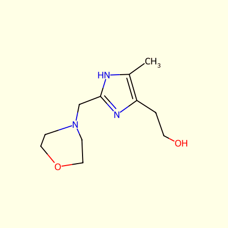 Cc1[nH]c(CN2CCOCC2)nc1CCO